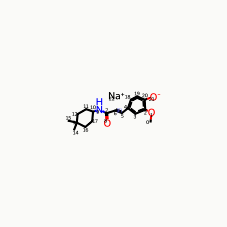 COc1cc(/C=C/C(=O)NC2CCC(C)(C)CC2)ccc1[O-].[Na+]